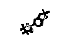 CC1(C)Cc2cc(B3OC(C)(C)C(C)(C)O3)ccc2O1